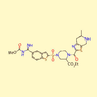 CCOC(=O)C1CN(S(=O)(=O)c2cc3cc(C(=N)NC(=O)OC)ccc3s2)CCN1C(=O)c1nc2c(s1)CNC(C)C2